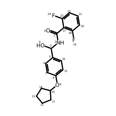 O=C(NC(O)c1ccc(OC2CCCC2)cc1)c1c(F)cccc1F